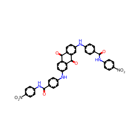 O=C(Nc1ccc([N+](=O)[O-])cc1)c1ccc(Nc2ccc3c(c2)C(=O)c2cc(Nc4ccc(C(=O)Nc5ccc([N+](=O)[O-])cc5)cc4)ccc2C3=O)cc1